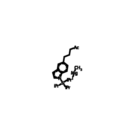 CC(=O)CCCc1ccc2c(ccn2[Si](C(C)C)(C(C)C)C(C)C)c1.[CH3][Mg][I]